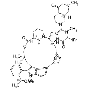 CCn1c(-c2cccnc2[C@H](C)OC)c2c3cc(ccc31)-c1csc(n1)C[C@H](NC(=O)C(C(C)C)N(C)C(=O)N1CCN3C(=O)CN(C)C[C@H]3C1)C(=O)N1CCC[C@H](N1)C(=O)OCC(C)(C)C2